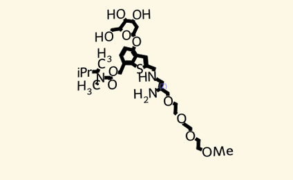 COCCOCCOCCOC/C(N)=C/NCc1cc2c(OC3CC(O)C(O)C(CO)O3)ccc(COC(=O)N(C)C(C)C(C)C)c2s1